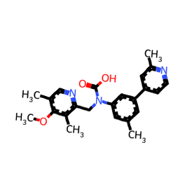 COc1c(C)cnc(CN(C(=O)O)c2cc(C)cc(-c3ccnc(C)c3)c2)c1C